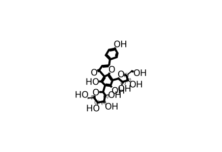 O=c1cc(-c2ccc(O)cc2)oc2c(C3O[C@@H](CO)[C@H](O)[C@H]3O)c(O)c(C3O[C@H](CO)[C@@H](O)[C@H](O)[C@H]3O)c(O)c12